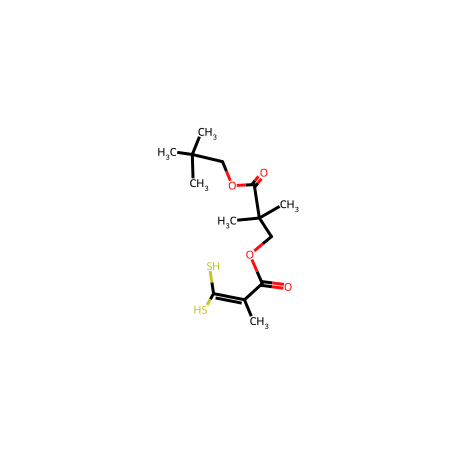 CC(C(=O)OCC(C)(C)C(=O)OCC(C)(C)C)=C(S)S